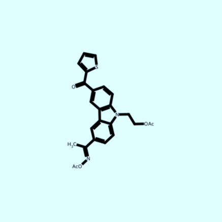 CC(=O)OCCn1c2ccc(C(=O)c3cccs3)cc2c2cc(/C(C)=N/OC(C)=O)ccc21